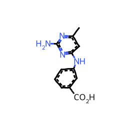 Cc1cc(Nc2cccc(C(=O)O)c2)nc(N)n1